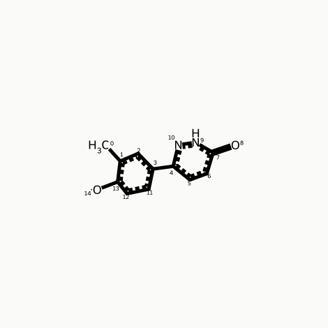 Cc1cc(-c2ccc(=O)[nH]n2)ccc1[O]